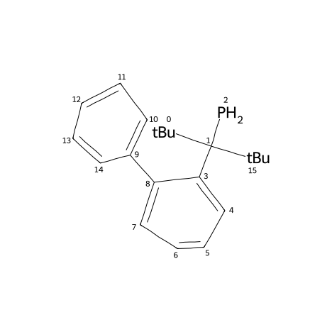 CC(C)(C)C(P)(c1ccccc1-c1ccccc1)C(C)(C)C